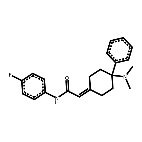 CN(C)C1(c2ccccc2)CCC(=CC(=O)Nc2ccc(F)cc2)CC1